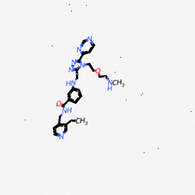 CCc1cnccc1CNC(=O)c1cccc(NCc2nnc(-c3ccncn3)n2CCOCCNC)c1